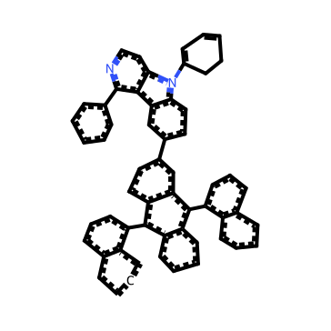 C1=CCCC(n2c3ccc(-c4ccc5c(-c6cccc7ccccc67)c6ccccc6c(-c6cccc7ccccc67)c5c4)cc3c3c(-c4ccccc4)nccc32)=C1